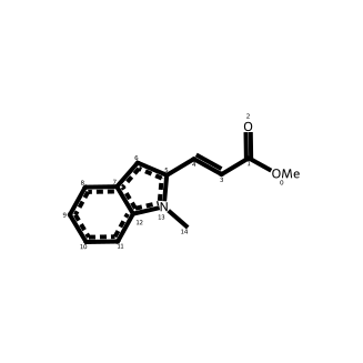 COC(=O)/C=C/c1cc2ccccc2n1C